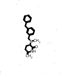 C=C1CCC(N(C)Cc2cccc(Cc3ccccc3)c2)C(=O)N1